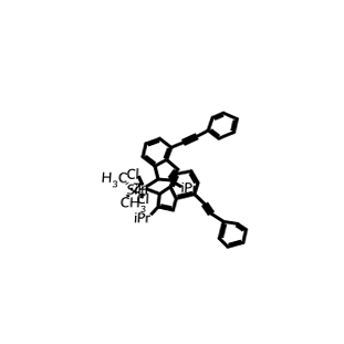 CC(C)C1=Cc2c(C#Cc3ccccc3)cccc2[CH]1[Zr]([Cl])([Cl])([CH]1C(C(C)C)=Cc2c(C#Cc3ccccc3)cccc21)[SiH](C)C